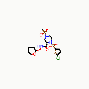 CS(=O)(=O)N1CCN(S(=O)(=O)c2ccc(Cl)s2)[C@@H](C(=O)NOC2CCCCO2)C1